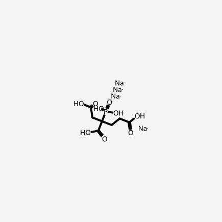 O=C(O)CCC(CC(=O)O)(C(=O)O)P(=O)(O)O.[Na].[Na].[Na].[Na]